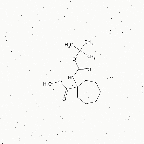 COC(=O)C1(NC(=O)OC(C)(C)C)CCCCCC1